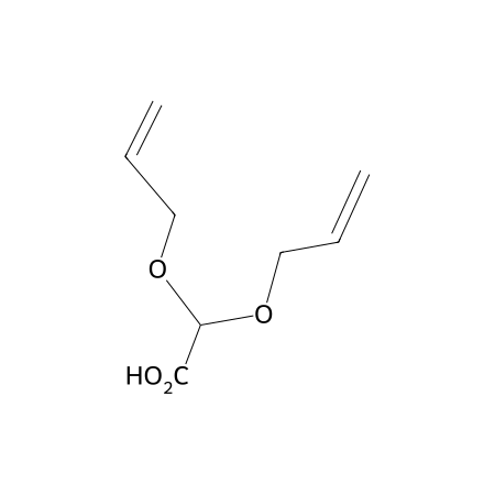 C=CCOC(OCC=C)C(=O)O